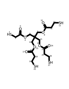 O=C(CS)OCC(COC(=O)CCS)(COC(=O)CCS)COC(=O)CCS